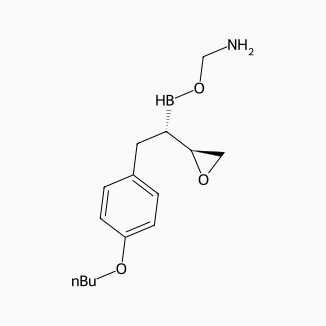 CCCCOc1ccc(C[C@H](BOCN)[C@H]2CO2)cc1